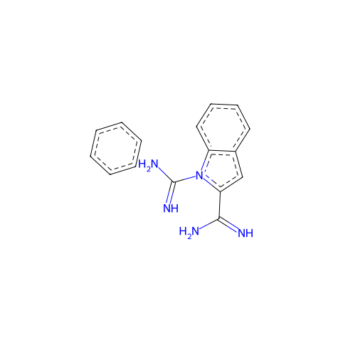 N=C(N)c1cc2ccccc2n1C(=N)N.c1ccccc1